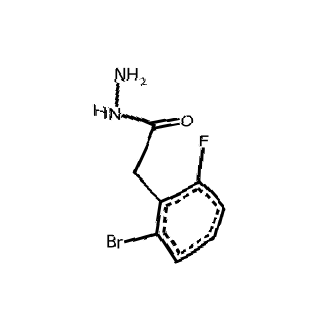 NNC(=O)Cc1c(F)cccc1Br